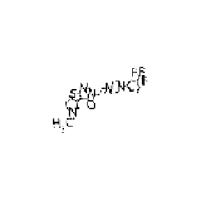 CCN1CCc2sc3ncn(CCN4CCN(c5cccc(C(F)(F)F)c5)CC4)c(=O)c3c2C1